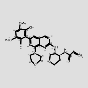 C=CC(=O)N[C@H]1CCOC[C@H]1Nc1ncc2cc(-c3c(Cl)c(OC)cc(OC)c3Cl)nc(N3CCOCC3)c2n1